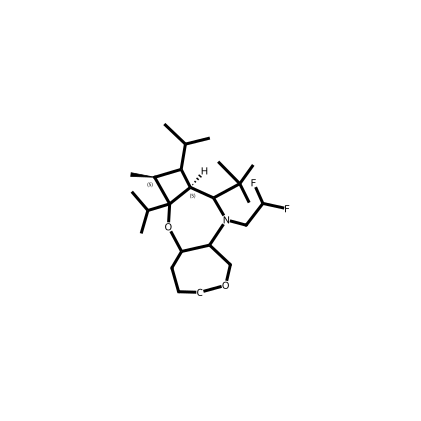 CC(C)C1[C@H]2C(C(C)(C)C)N(CC(F)F)C3COCCCC3OC2(C(C)C)[C@H]1C